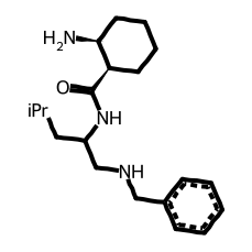 CC(C)CC(CNCc1ccccc1)NC(=O)[C@@H]1CCCC[C@@H]1N